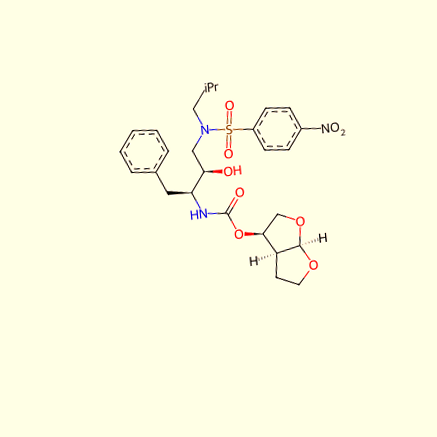 CC(C)CN(C[C@@H](O)[C@H](Cc1ccccc1)NC(=O)O[C@H]1CO[C@H]2OCC[C@H]21)S(=O)(=O)c1ccc([N+](=O)[O-])cc1